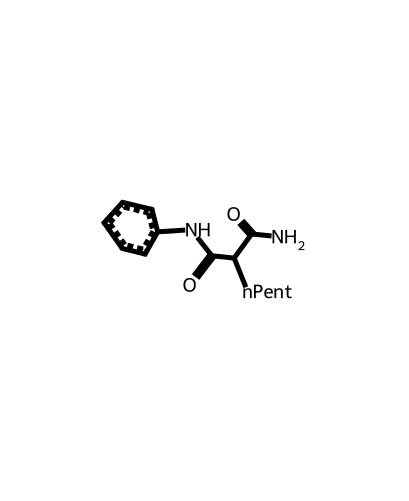 CCCCCC(C(N)=O)C(=O)Nc1ccccc1